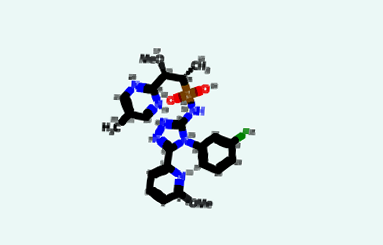 COc1cccc(-c2nnc(NS(=O)(=O)[C@@H](C)[C@H](OC)c3ncc(C)cn3)n2-c2cccc(F)c2)n1